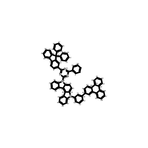 c1ccc(-c2nc(-c3ccc4c(c3)C(c3ccccc3)(c3ccccc3)c3ccccc3-4)nc(-n3c4ccccc4c4c5c6ccccc6n(-c6cccc(-c7ccc8c9ccccc9c9ccccc9c8c7)c6)c5ccc43)n2)cc1